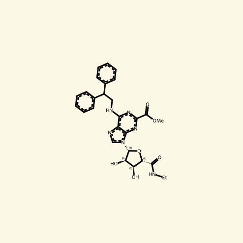 CCNC(=O)[C@H]1O[C@@H](n2cnc3c(NCC(c4ccccc4)c4ccccc4)nc(C(=O)OC)nc32)[C@H](O)[C@@H]1O